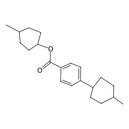 CC1CCC(OC(=O)c2ccc(C3CCC(C)CC3)cc2)CC1